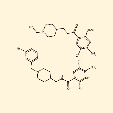 COc1nc(N)c(Cl)cc1C(=O)CCC1CCN(CC(C)C)CC1.Nc1[nH]c(=O)c(C(=O)NCC2CCN(Cc3cccc(Br)c3)CC2)cc1Cl